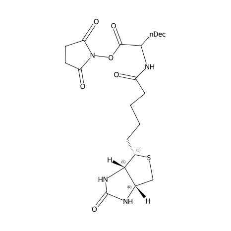 CCCCCCCCCCC(NC(=O)CCCC[C@@H]1SC[C@@H]2NC(=O)N[C@@H]21)C(=O)ON1C(=O)CCC1=O